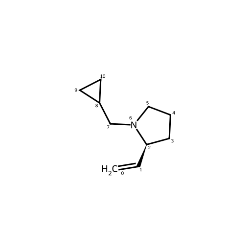 C=C[C@@H]1CCCN1CC1CC1